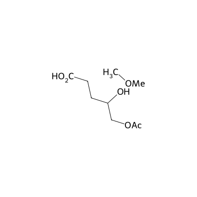 CC(=O)OCC(O)CCC(=O)O.COC